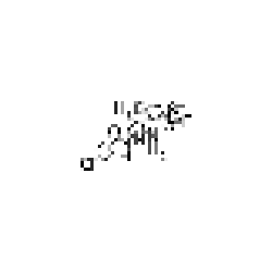 Cc1ccc(S(=O)(=O)C(F)(F)F)cc1-c1ccc(NC(=O)c2ccc(Cl)cc2)nc1N